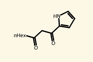 CCCCCCC(=O)CC(=O)c1ccc[nH]1